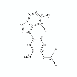 COc1nc(-n2ccc3ccc(Cl)c(F)c32)ncc1CC(F)F